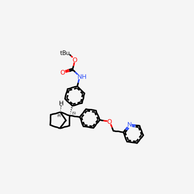 CC(C)(C)OC(=O)Nc1ccc([C@]2(c3ccc(OCc4ccccn4)cc3)CC3CC[C@@H]2C3)cc1